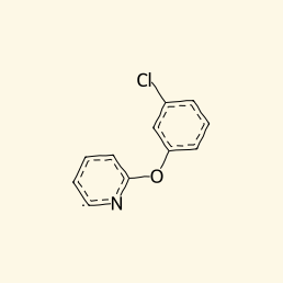 Clc1cccc(Oc2ccc[c]n2)c1